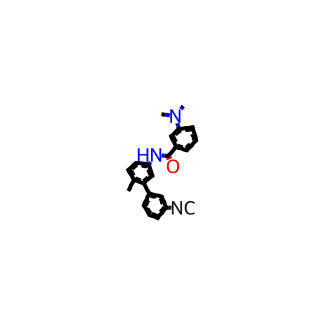 [C-]#[N+]c1cccc(-c2cc(NC(=O)c3cccc(N(C)C)c3)ccc2C)c1